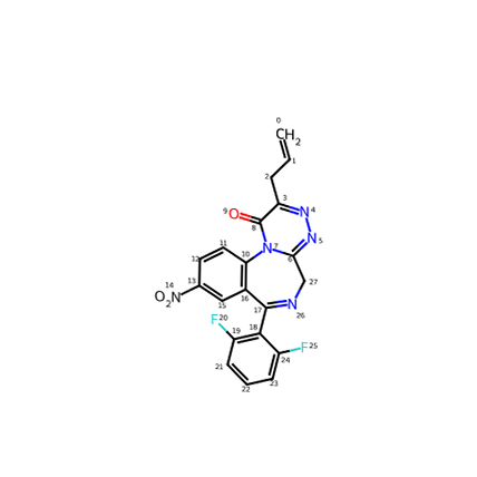 C=CCc1nnc2n(c1=O)-c1ccc([N+](=O)[O-])cc1C(c1c(F)cccc1F)=NC2